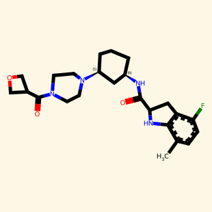 Cc1ccc(F)c2c1NC(C(=O)N[C@@H]1CCC[C@H](N3CCN(C(=O)C4COC4)CC3)C1)C2